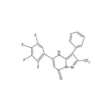 O=c1cc(-c2cc(F)c(F)c(F)c2F)[nH]c2c(-c3ccccc3)c(C(F)(F)F)nn12